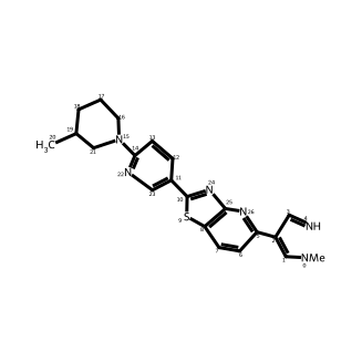 CN/C=C(\C=N)c1ccc2sc(-c3ccc(N4CCCC(C)C4)nc3)nc2n1